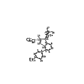 CCc1ccc(-c2cccc3c2C=C(C)[CH]3[Zr+2][Si](C)C)cc1.[Cl-].[Cl-]